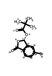 CC(C)(C)C(=O)O[C@H]1OC(=O)c2ccc(Br)cc21